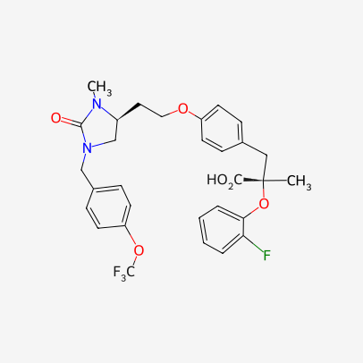 CN1C(=O)N(Cc2ccc(OC(F)(F)F)cc2)C[C@@H]1CCOc1ccc(C[C@](C)(Oc2ccccc2F)C(=O)O)cc1